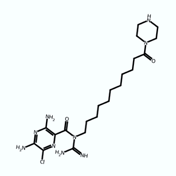 N=C(N)N(CCCCCCCCCCC(=O)N1CCNCC1)C(=O)c1nc(Cl)c(N)nc1N